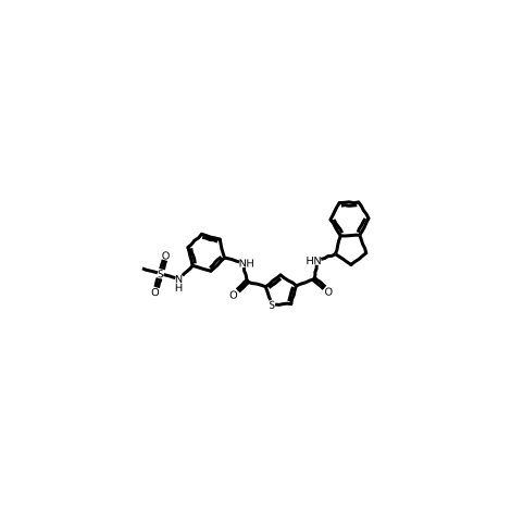 CS(=O)(=O)Nc1cccc(NC(=O)c2cc(C(=O)NC3CCc4ccccc43)cs2)c1